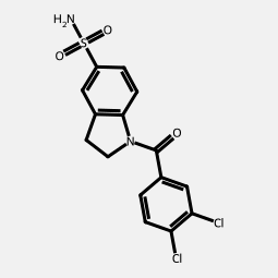 NS(=O)(=O)c1ccc2c(c1)CCN2C(=O)c1ccc(Cl)c(Cl)c1